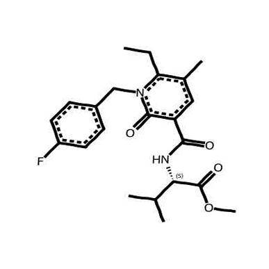 CCc1c(C)cc(C(=O)N[C@H](C(=O)OC)C(C)C)c(=O)n1Cc1ccc(F)cc1